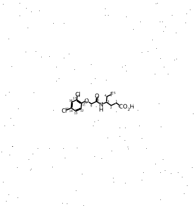 O=C(O)CCC(CF)NC(=O)COc1ccc(Cl)cc1Cl